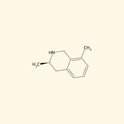 Cc1cccc2c1CN[C@H](C)C2